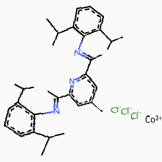 CC(=Nc1c(C(C)C)cccc1C(C)C)c1cc(C)cc(C(C)=Nc2c(C(C)C)cccc2C(C)C)n1.[Cl-].[Cl-].[Cl-].[Co+3]